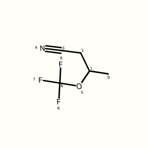 CC(CC#N)OC(F)(F)F